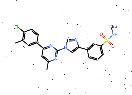 Cc1cc(-c2ccc(Cl)c(C)c2)nc(-n2cnc(-c3cccc(S(=O)(=O)NC(C)(C)C)c3)c2)n1